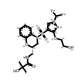 CC(C)(O)C(=O)NC[C@H]1CN(S(=O)(=O)c2cn(C(F)F)nc2OCCO)c2c[c]ccc2O1